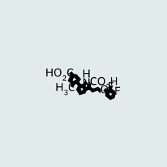 Cc1cc(C(=O)O)ccc1-c1cccc2c(CCCOc3cccc(F)c3F)c(C(=O)O)[nH]c12